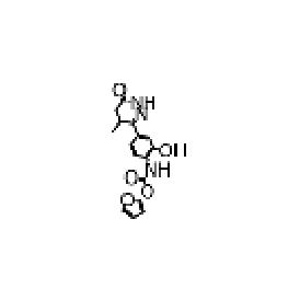 CC1CC(=O)NN=C1c1ccc(NC(=O)Oc2ccco2)c(O)c1